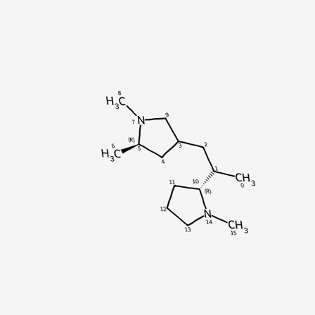 CC(CC1C[C@@H](C)N(C)C1)[C@H]1CCCN1C